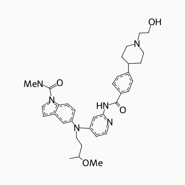 CNC(=O)n1ccc2cc(N(CCC(C)OC)c3ccnc(NC(=O)c4ccc(C5CCN(CCO)CC5)cc4)c3)ccc21